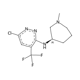 CN1CCC[C@@H](Nc2nnc(Cl)cc2C(F)(F)F)C1